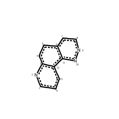 c1cnc2ccc3ccnnc3c2c1